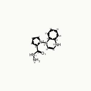 NNC(=O)c1cccn1N1C=CNc2ccccc21